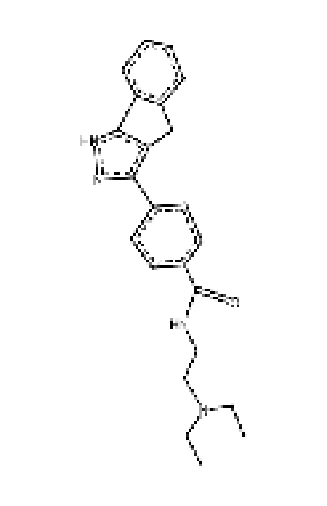 CCN(CC)CCNC(=O)c1ccc(-c2n[nH]c3c2Cc2ccccc2-3)cc1